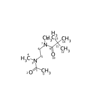 CC(=O)N(C)CCN(C)C(=O)C(C)(C)C